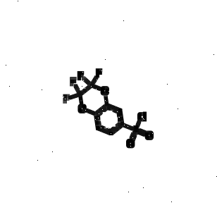 O=S(=O)(Cl)c1ccc2c(c1)OC(F)(F)C(F)(F)O2